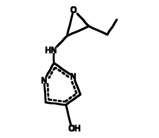 CCC1OC1Nc1ncc(O)cn1